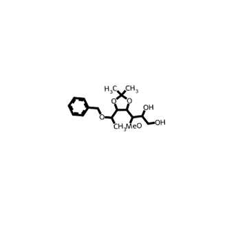 COC(C(O)CO)C1OC(C)(C)OC1C(C)OCc1ccccc1